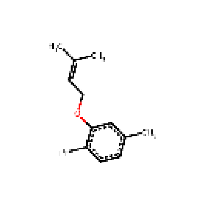 CC(C)=CCOc1cc(C)ccc1C(C)C